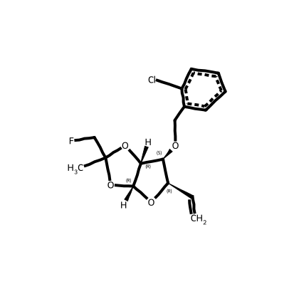 C=C[C@H]1O[C@@H]2OC(C)(CF)O[C@@H]2[C@H]1OCc1ccccc1Cl